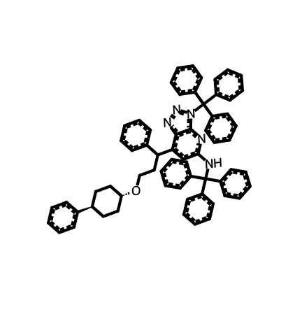 c1ccc(C(CCO[C@H]2CC[C@H](c3ccccc3)CC2)c2cc(NC(c3ccccc3)(c3ccccc3)c3ccccc3)nc3c2nnn3C(c2ccccc2)(c2ccccc2)c2ccccc2)cc1